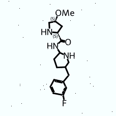 CO[C@@H]1CN[C@H](C(=O)NC2CCC(Cc3cccc(F)c3)CN2)C1